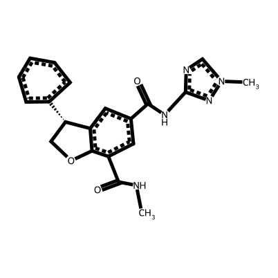 CNC(=O)c1cc(C(=O)Nc2ncn(C)n2)cc2c1OC[C@@H]2c1ccccc1